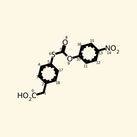 O=C(O)Cc1ccc(SC(=O)Oc2ccc([N+](=O)[O-])cc2)cc1